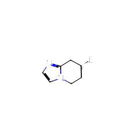 CC[C@H]1CCn2ccnc2C1